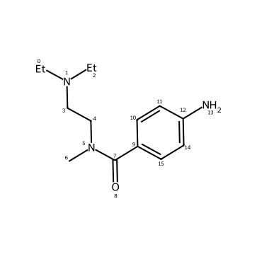 CCN(CC)CCN(C)C(=O)c1ccc(N)cc1